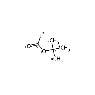 CC(C)(C)OC(=O)I